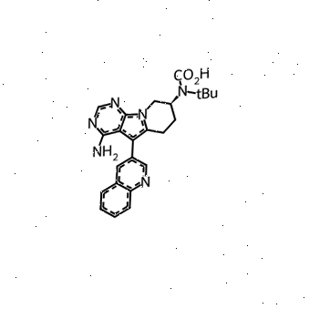 CC(C)(C)N(C(=O)O)[C@H]1CCc2c(-c3cnc4ccccc4c3)c3c(N)ncnc3n2C1